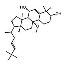 CO[C@@]12CC[C@]3(C)[C@@H]([C@H](C)C/C=C/C(C)(C)C)CC[C@@]3(C)C1[C@@H](O)C=C1C2CC[C@H](O)C1(C)C